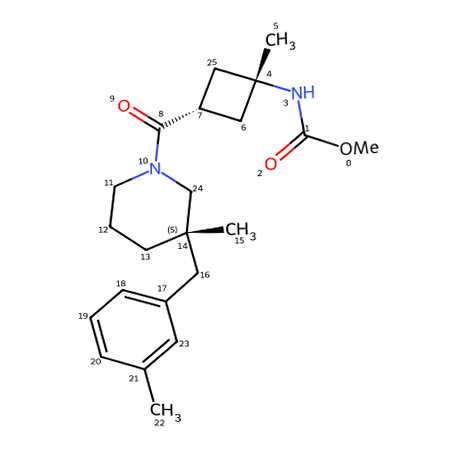 COC(=O)N[C@]1(C)C[C@H](C(=O)N2CCC[C@@](C)(Cc3cccc(C)c3)C2)C1